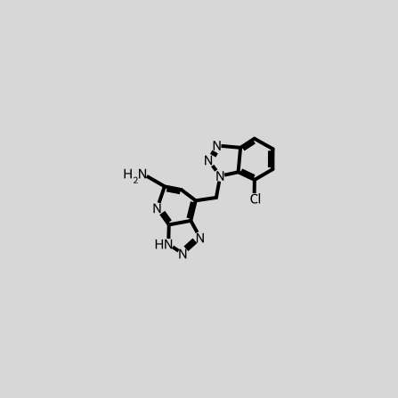 Nc1cc(Cn2nnc3cccc(Cl)c32)c2nn[nH]c2n1